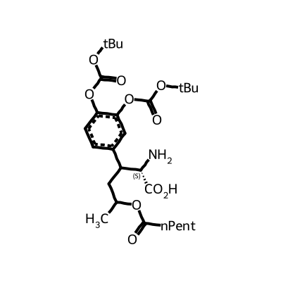 CCCCCC(=O)OC(C)CC(c1ccc(OC(=O)OC(C)(C)C)c(OC(=O)OC(C)(C)C)c1)[C@H](N)C(=O)O